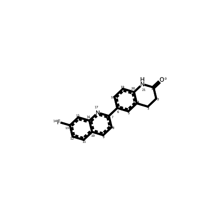 O=C1CCc2cc(-c3ccc4ccc(F)cc4n3)ccc2N1